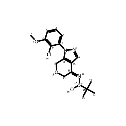 COc1cccc(-n2ncc3c2COCC3=N[S+]([O-])C(C)(C)C)c1Cl